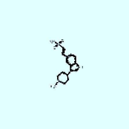 CN1CCC(c2c[nH]c3ccc(C=CS(N)(=O)=O)cc23)CC1